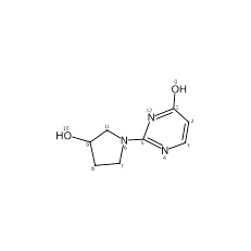 Oc1ccnc(N2CCC(O)C2)n1